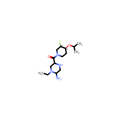 CCN1CC(C(=O)N2CC[C@H](OC(C)C)[C@H](F)C2)NCC1N